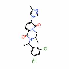 Cc1cn(-c2ccc3n(c2=O)CC(C)N(C(C)c2cc(Cl)cc(Cl)c2)C3=O)cn1